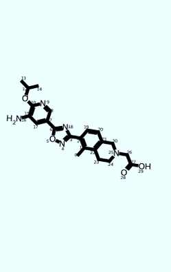 Cc1c(-c2noc(-c3cnc(OC(C)C)c(N)c3)n2)ccc2c1CCN(CC(=O)O)C2